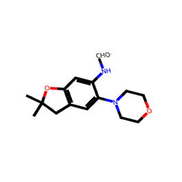 CC1(C)Cc2cc(N3CCOCC3)c(N[C]=O)cc2O1